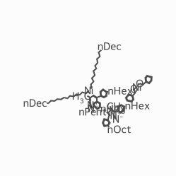 CCCCCCCCCCCCCCCCCCCCCC[CH2][Ni][CH2]CCCCCCCCCCCCCCCCCCCCCC.CCCCCCCCc1cccc(C2=C(CCCCC)C(C)=C(c3ccc(CCCCCC)cc3)[N+]2=[N-])c1.CCCCCCc1ccc(C(=CC(C)=C=[N+]=[N-])c2cccc(CCCCCC)c2)cc1.c1ccc(C[O][Ni][O]Cc2ccccc2)cc1